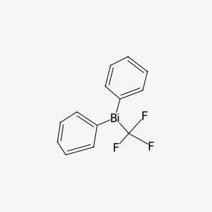 F[C](F)(F)[Bi]([c]1ccccc1)[c]1ccccc1